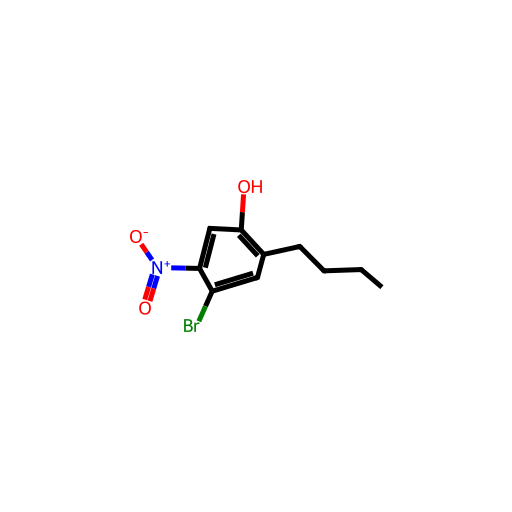 CCCCc1cc(Br)c([N+](=O)[O-])cc1O